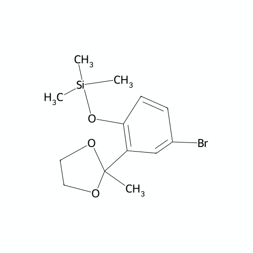 CC1(c2cc(Br)ccc2O[Si](C)(C)C)OCCO1